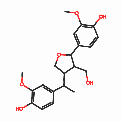 COc1cc(C(C)C2COC(c3ccc(O)c(OC)c3)C2CO)ccc1O